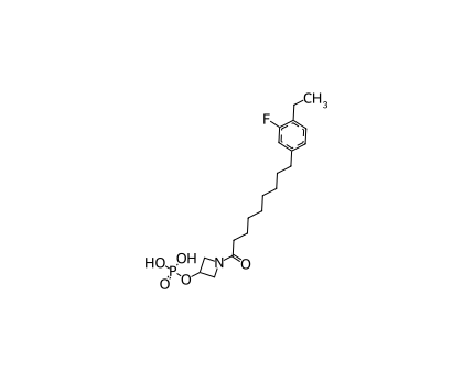 CCc1ccc(CCCCCCCCC(=O)N2CC(OP(=O)(O)O)C2)cc1F